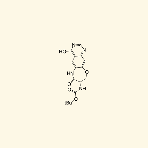 CC(C)(C)OC(=O)N[C@H]1COc2cc3ncnc(O)c3cc2NC1=O